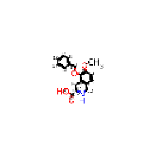 COc1ccc2c(c1OCc1ccccc1)C[C@@H](C(=O)O)NC2